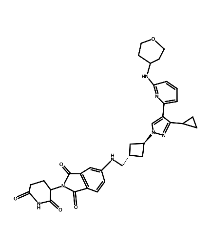 O=C1CCC(N2C(=O)c3ccc(NC[C@H]4C[C@H](n5cc(-c6cccc(NC7CCOCC7)n6)c(C6CC6)n5)C4)cc3C2=O)C(=O)N1